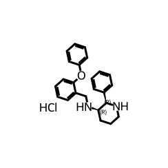 Cl.c1ccc(Oc2ccccc2CN[C@@H]2CCCN[C@@H]2c2ccccc2)cc1